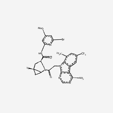 COc1cc(Br)nc(NC(=O)[C@@H]2C[C@H]3CC3N2C(=O)Cn2c3ncnc(N)c3c3cc(C(F)(F)F)cc(C)c32)c1